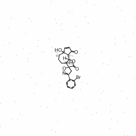 C[C@H]1CC[C@@H]2[C@@H](OC(=O)C23CC(c2ccccc2Br)=NO3)[C@]2(C)C(=O)C=C[C@@]12O